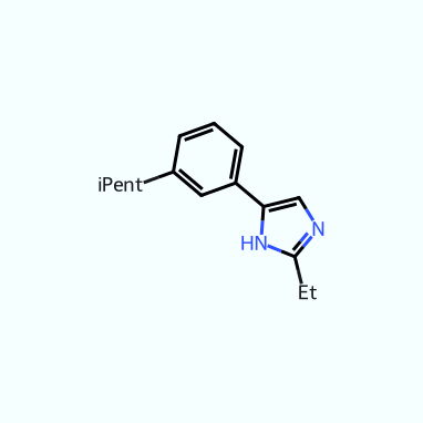 CCCC(C)c1cccc(-c2cnc(CC)[nH]2)c1